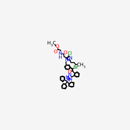 CCCCc1nc(Cl)c(CC(=O)NCC(=O)OCC)n1Cc1ccc2oc(-c3ccccc3-c3nnn(C(c4ccccc4)(c4ccccc4)c4ccccc4)n3)c(Br)c2c1